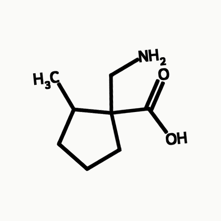 CC1CCCC1(CN)C(=O)O